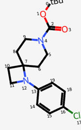 CC(C)(C)OC(=O)N1CCC2(CC1)CCN2c1ccc(Cl)cc1